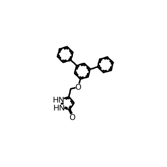 O=c1cc(COc2cc(-c3ccccc3)cc(-c3ccccc3)c2)[nH][nH]1